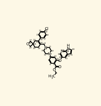 CCOC(=O)c1ccc(N2CCN(CC3=C(c4ccc(Cl)cc4)CC4(CC3)COC4)CC2)cc1Oc1cnc2[nH]ccc2c1